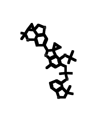 Cc1cc(CC(C)(C)Oc2cccc3c2C(C)(C)CO3)c(OC(C)(C)C)c2c1OC(c1cc3c4c(c1)OC(C)(C)C1CC41CO3)C21CC1